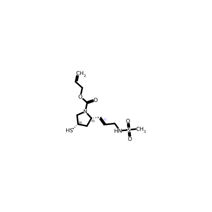 C=CCOC(=O)N1C[C@@H](S)C[C@H]1/C=C/CNS(C)(=O)=O